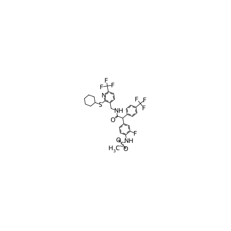 CS(=O)(=O)Nc1ccc(C(C(=O)NCc2ccc(C(F)(F)F)nc2SC2CCCCC2)c2ccc(C(F)(F)F)cc2)cc1F